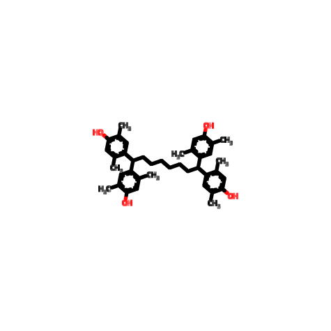 Cc1cc(C(CCCCCCC(c2cc(C)c(O)cc2C)c2cc(C)c(O)cc2C)c2cc(C)c(O)cc2C)c(C)cc1O